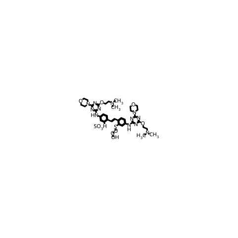 CN(C)CCOc1nc(Nc2ccc(/C=C/c3ccc(Nc4nc(OCCN(C)C)nc(N5CCOCC5)n4)cc3S(=O)(=O)O)c(SOOO)c2)nc(N2CCOCC2)n1